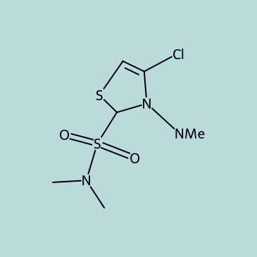 CNN1C(Cl)=CSC1S(=O)(=O)N(C)C